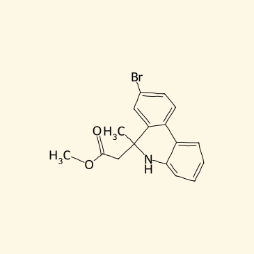 COC(=O)CC1(C)Nc2ccccc2-c2ccc(Br)cc21